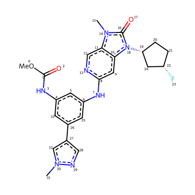 COC(=O)Nc1cc(Nc2cc3c(cn2)n(C)c(=O)n3[C@@H]2CC[C@H](F)C2)cc(-c2cnn(C)c2)c1